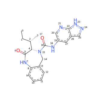 CC[C@H](C)[C@H]1C(=O)Nc2ccccc2CN1C(=O)Nc1cnc2[nH]ncc2c1